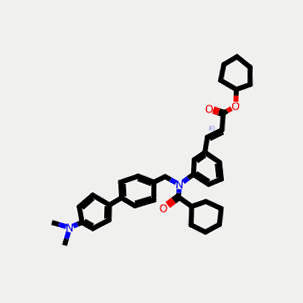 CN(C)c1ccc(-c2ccc(CN(C(=O)C3CCCCC3)c3cccc(/C=C/C(=O)OC4CCCCC4)c3)cc2)cc1